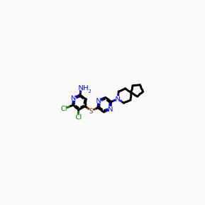 Nc1cc(Sc2cnc(N3CCC4(CCCC4)CC3)cn2)c(Cl)c(Cl)n1